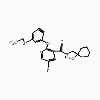 CCSc1cccc(Oc2ncc(F)cc2C(=O)NCC2(O)CCCCC2)c1